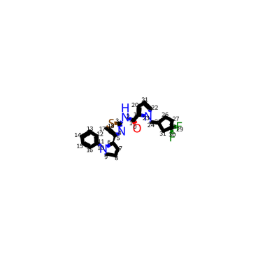 O=C(Nc1nc([C@H]2CCCN2c2ccccc2)cs1)c1cccn1CC1CCC(F)(F)C1